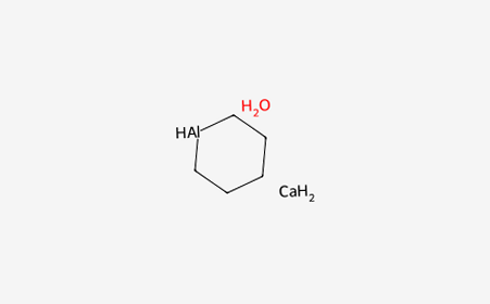 C1C[CH2][AlH][CH2]C1.O.[CaH2]